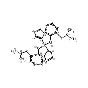 CN(C)Cc1ccccc1[O][Zr]([O]c1ccccc1CN(C)C)([C]1=CC=CC1)[C]1=CC=CC1